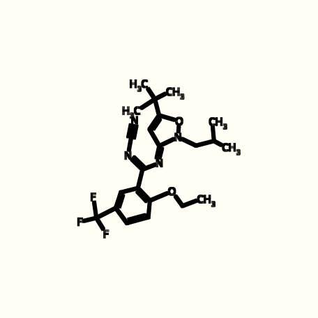 CCOc1ccc(C(F)(F)F)cc1C(=NC#N)/N=c1\cc(C(C)(C)C)on1CC(C)C